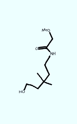 COCC(=O)NCCC(C)(C)CCO